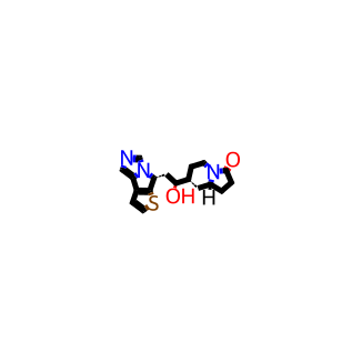 O=C1CC[C@@H]2C[C@H]([C@@H](O)C[C@@H]3c4sccc4-c4cncn43)CCN12